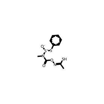 CC(S)=NOC(=O)N(C)[S+]([O-])Sc1ccccc1